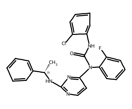 C[C@H](Nc1nccc(N(C(=O)Nc2ccccc2Cl)c2ccccc2F)n1)c1ccccc1